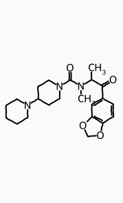 CC(C(=O)c1ccc2c(c1)OCO2)N(C)C(=O)N1CCC(N2CCCCC2)CC1